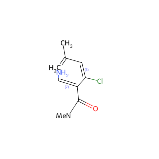 C=C(C)/C=C(Cl)\C(=C/N)C(=O)NC